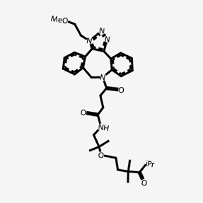 COCCn1nnc2c1-c1ccccc1CN(C(=O)CCC(=O)NCC(C)(C)OCCC(C)(C)C(=O)C(C)C)c1ccccc1-2